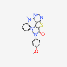 COc1ccc(-n2cnc3c(sc4ncnc(N(C)c5ccccc5)c43)c2=O)cc1